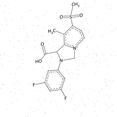 Cc1c(S(C)(=O)=O)cc[n+]2c1C(C(=O)O)N(c1cc(F)cc(F)c1)C2